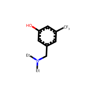 CCN(CC)Cc1cc(O)cc(C(F)(F)F)c1